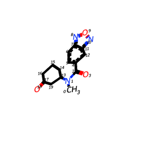 CN(C(=O)c1ccc2nonc2c1)C1CCCC(=O)C1